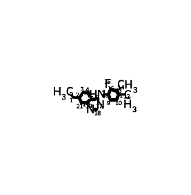 CCc1ccc2c(Nc3ccc(C)c(C)c3F)ncnc2c1